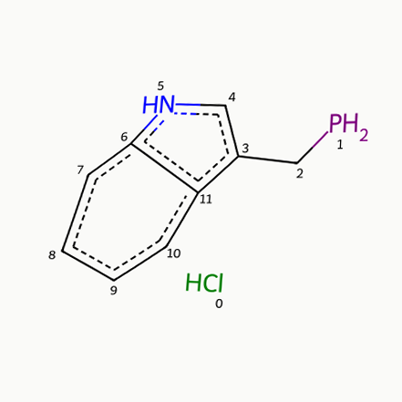 Cl.PCc1c[nH]c2ccccc12